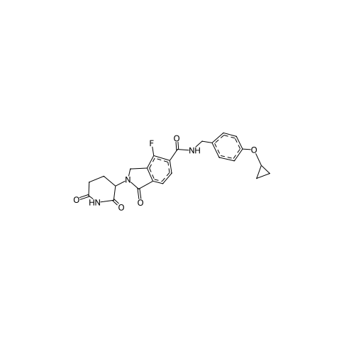 O=C1CCC(N2Cc3c(ccc(C(=O)NCc4ccc(OC5CC5)cc4)c3F)C2=O)C(=O)N1